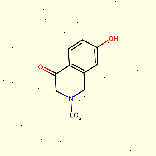 O=C1CN(C(=O)O)Cc2cc(O)ccc21